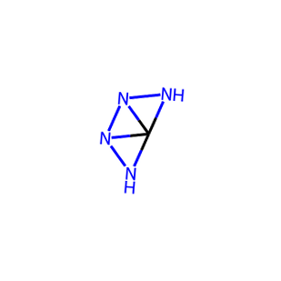 N1N2N3NC123